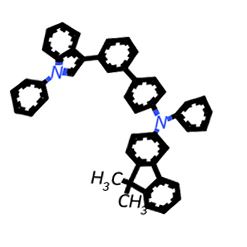 CC1(C)c2ccccc2-c2cc(N(c3ccccc3)c3ccc(-c4cccc(-c5cn(-c6ccccc6)c6ccccc56)c4)cc3)ccc21